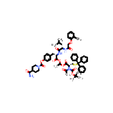 CC(=O)N(C(=O)OC(C)(C)C)[C@@H](CSC(c1ccccc1)(c1ccccc1)c1ccccc1)C(=O)OC(C)OC(=O)[C@H](Cc1ccc(OC(=O)N2CCC(C(N)=O)CC2)cc1)NC(=O)[C@H](CC(C)C)NC(=O)COc1ccccc1C